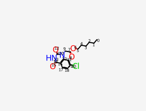 CCCCCCOC(=O)Cn1c(=O)[nH]c(=O)c2ccc(Cl)cc21